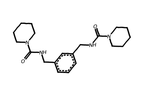 O=C(NCc1cccc(CNC(=O)N2CCCCC2)c1)N1CCCCC1